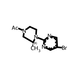 CC(=O)N1CCN(c2ncc(Br)cn2)[C@H](C)C1